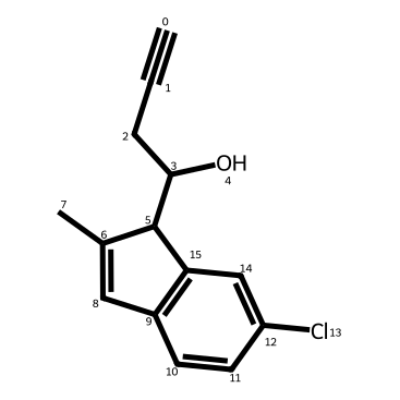 C#CCC(O)C1C(C)=Cc2ccc(Cl)cc21